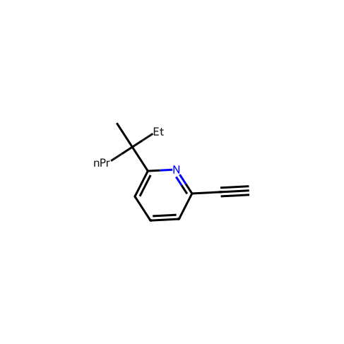 C#Cc1cccc(C(C)(CC)CCC)n1